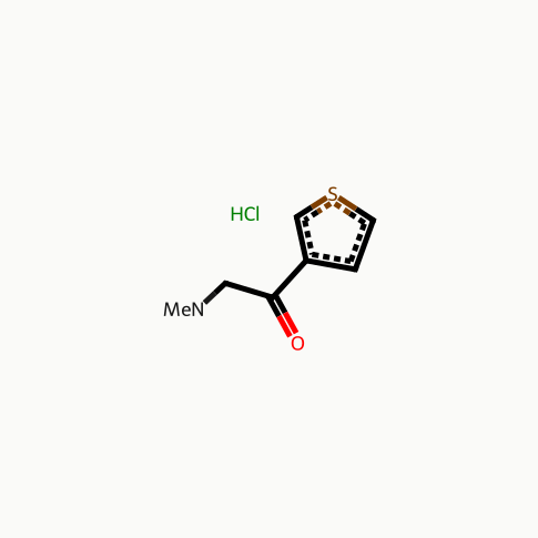 CNCC(=O)c1ccsc1.Cl